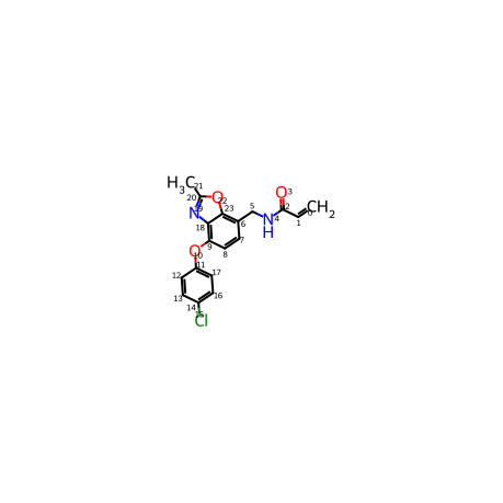 C=CC(=O)NCc1ccc(Oc2ccc(Cl)cc2)c2nc(C)oc12